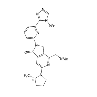 CCCn1cnnc1-c1cccc(N2Cc3c(cc(N4CCC[C@@H]4C(F)(F)F)nc3CNC)C2=O)n1